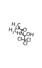 C=C(C)C(=O)NC(O)C(Cl)(Cl)Cl